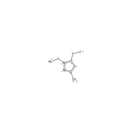 CC(=O)Cn1nc(C(F)(F)F)cc1CI